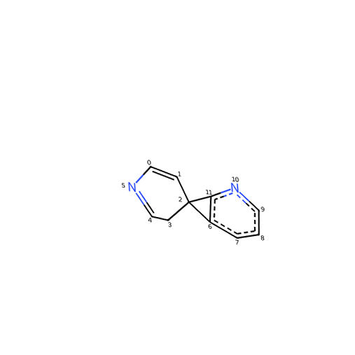 C1=CC2(CC=N1)c1cccnc12